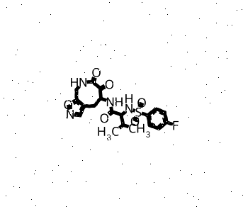 CC(C)C(NS(=O)(=O)c1ccc(F)cc1)C(=O)NC1Cc2cnoc2CNC(=O)C1=O